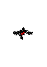 CCC(C)c1ccc(COc2ccc(C3(c4cc(C)cc(C)c4)c4ccccc4-c4ccc(N(c5ccc(-c6ccccc6)cc5)c5ccc6c(c5)C(C)(C)c5ccccc5-6)cc43)cc2)cc1